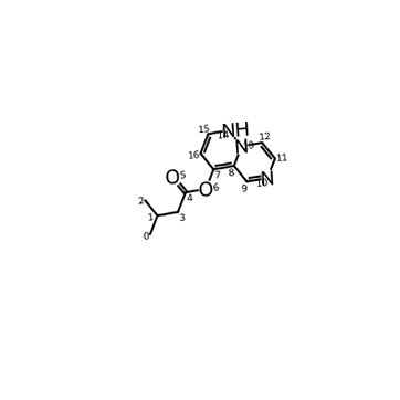 CC(C)CC(=O)OC1=C2C=NC=CN2NC=C1